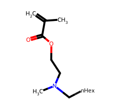 C=C(C)C(=O)OCCN(C)CCCCCCC